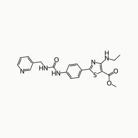 CCNc1nc(-c2ccc(NC(=O)NCc3cccnc3)cc2)sc1C(=O)OC